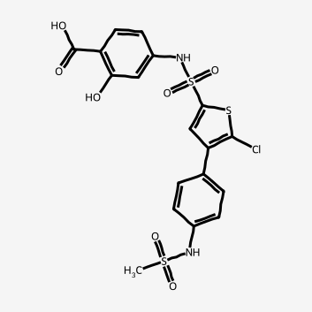 CS(=O)(=O)Nc1ccc(-c2cc(S(=O)(=O)Nc3ccc(C(=O)O)c(O)c3)sc2Cl)cc1